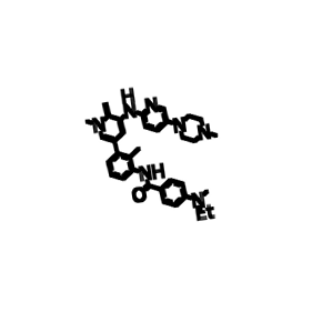 C=C1C(Nc2ccc(N3CCN(C)CC3)cn2)=CC(c2cccc(NC(=O)c3ccc(N(C)CC)cc3)c2C)=CN1C